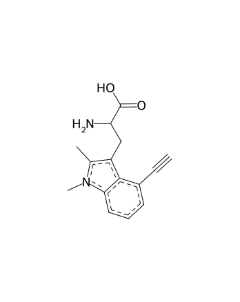 C#Cc1cccc2c1c(CC(N)C(=O)O)c(C)n2C